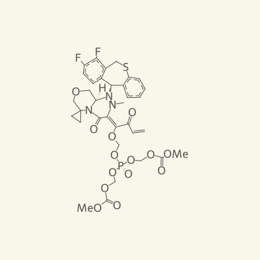 C=CC(=O)/C(OCOP(=O)(OCOC(=O)OC)OCOC(=O)OC)=C1/C(=O)N2[C@@H](COCC23CC3)N([C@@H]2c3ccccc3SCc3c2ccc(F)c3F)N1C